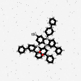 CC(C)(C)c1cc2c3c(c1)N(c1ccc(-c4ccccc4)cc1-c1ccccc1)c1ccc(-c4ccccc4)cc1B3c1cc(-c3ccccc3)ccc1N2c1ccc(-c2ccccc2)cc1